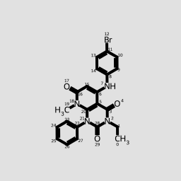 CCn1c(=O)c2c(Nc3ccc(Br)cc3)cc(=O)n(C)c2n(-c2ccccc2)c1=O